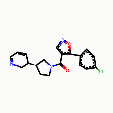 O=C(c1cnoc1-c1ccc(Cl)cc1)N1CC[C@@H](C2C=CC=NC2)C1